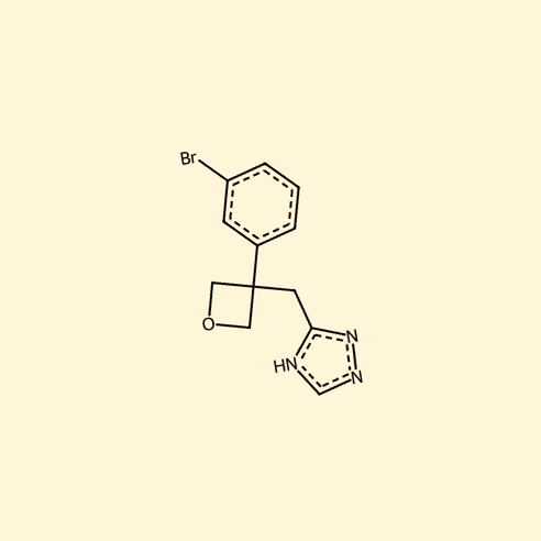 Brc1cccc(C2(Cc3nnc[nH]3)COC2)c1